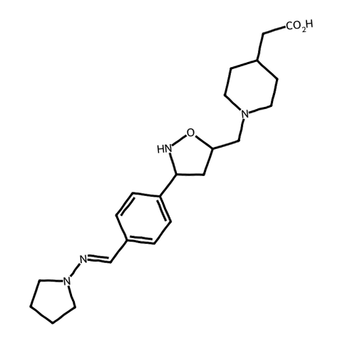 O=C(O)CC1CCN(CC2CC(c3ccc(C=NN4CCCC4)cc3)NO2)CC1